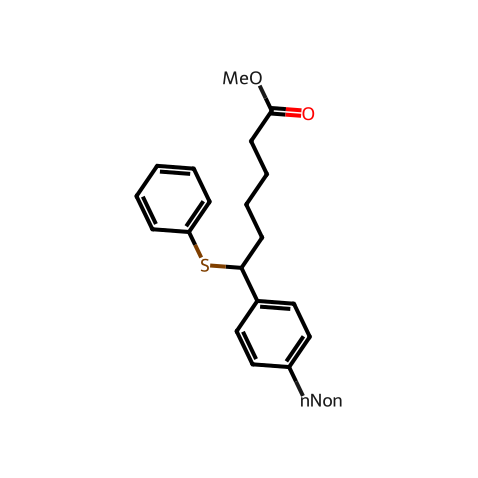 CCCCCCCCCc1ccc(C(CCCCC(=O)OC)Sc2ccccc2)cc1